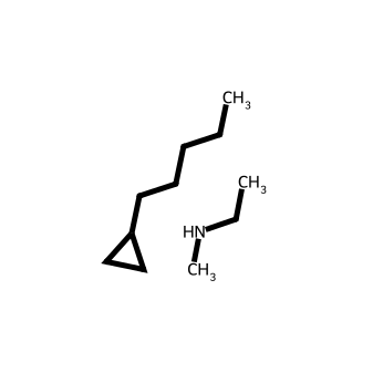 CCCCCC1CC1.CCNC